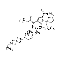 C=C/C(F)=C(\N=C(/C)NC(=C)/C=C\C(=C/C)N1CC2(CN(CC)C2)C1)c1cc(C(C)=O)c(C2(CC)CCCC2)s1